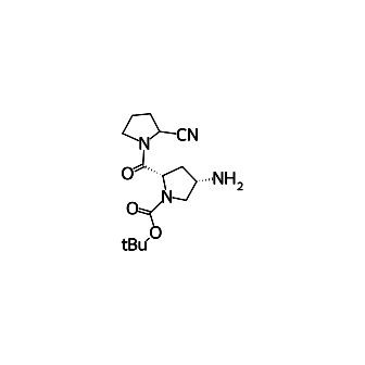 CC(C)(C)OC(=O)N1C[C@@H](N)C[C@H]1C(=O)N1CCCC1C#N